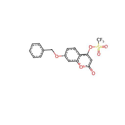 O=c1cc(OS(=O)(=O)C(F)(F)F)c2ccc(OCc3ccccc3)cc2o1